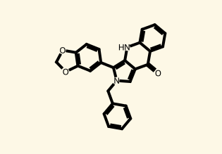 O=c1c2ccccc2[nH]c2c(-c3ccc4c(c3)OCO4)n(Cc3ccccc3)cc12